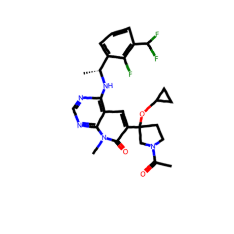 CC(=O)N1CCC(OC2CC2)(c2cc3c(N[C@H](C)c4cccc(C(F)F)c4F)ncnc3n(C)c2=O)C1